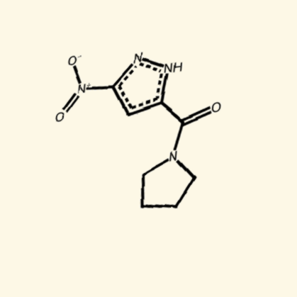 O=C(c1cc([N+](=O)[O-])n[nH]1)N1CCCC1